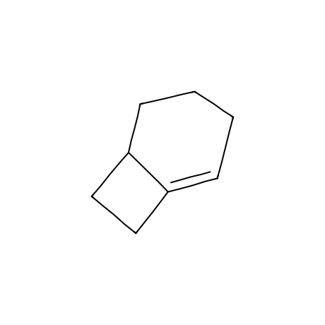 C1=C2CCC2CCC1